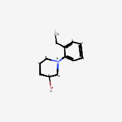 N#CCc1ccccc1N1CCCC(Br)C1